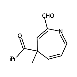 CC(C)C(=O)C1(C)C=CC=NC(C=O)=C1